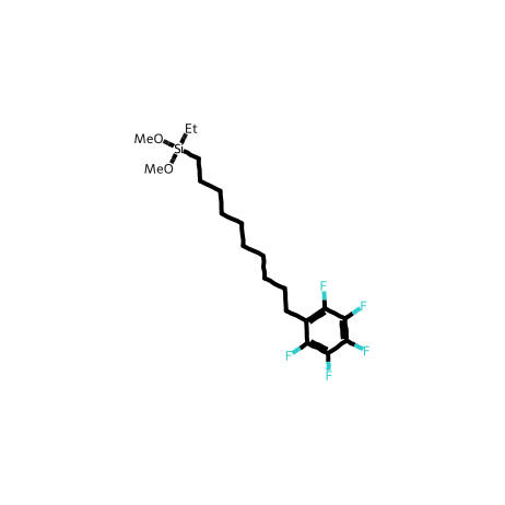 CC[Si](CCCCCCCCCCc1c(F)c(F)c(F)c(F)c1F)(OC)OC